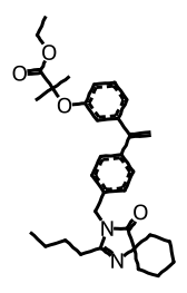 C=C(c1ccc(CN2C(=O)C3(CCCCC3)N=C2CCCC)cc1)c1cccc(OC(C)(C)C(=O)OCC)c1